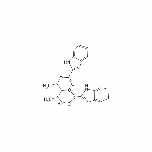 CC(OC(=O)c1cc2ccccc2[nH]1)C(OC(=O)c1cc2ccccc2[nH]1)N(C)C